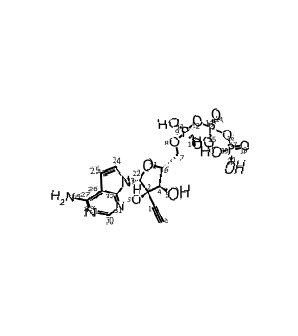 C#C[C@@]1(O)[C@H](O)[C@@H](COP(=O)(O)OP(=O)(O)OP(=O)(O)O)O[C@H]1n1ccc2c(N)ncnc21